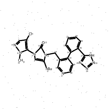 CCCCc1cn(-c2c(Cl)cnn2C)c(=O)n1Cc1cnccc1-c1ccccc1-c1nnn[nH]1